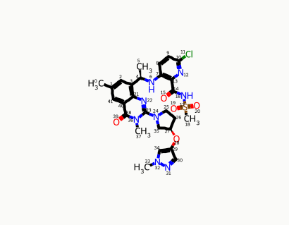 Cc1cc([C@@H](C)Nc2ccc(Cl)nc2C(=O)NS(C)(=O)=O)c2nc(N3CC[C@@H](Oc4cnn(C)c4)C3)n(C)c(=O)c2c1